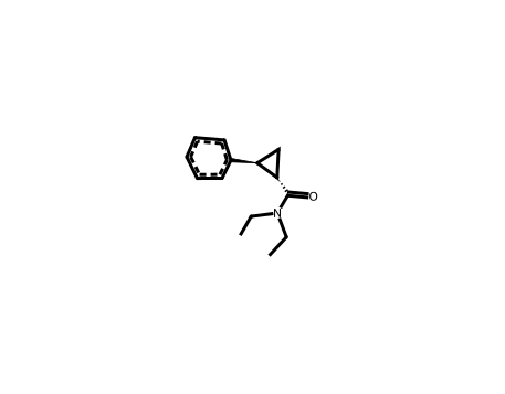 CCN(CC)C(=O)[C@H]1C[C@@H]1c1ccccc1